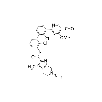 COc1nc(-c2cccc(-c3cccc(NC(=O)c4nc5c(n4C)CCN(C)C5)c3Cl)c2Cl)ncc1C=O